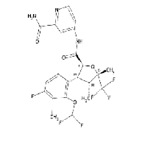 Cc1c(F)ccc([C@@H]2[C@@H](C(=O)Nc3ccnc(C(N)=O)c3)O[C@](C)(C(F)(F)F)[C@@H]2C)c1OC(F)F